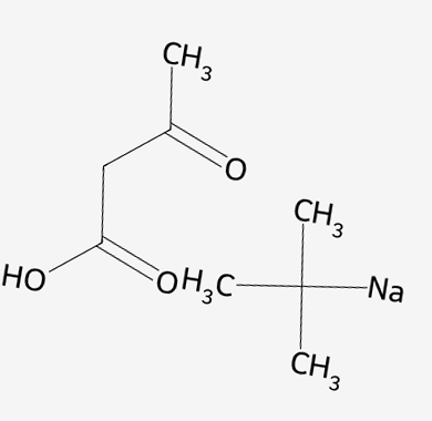 CC(=O)CC(=O)O.C[C](C)(C)[Na]